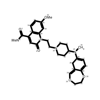 CNC(=O)c1cc(=O)n(CCN2CCC(N(C)C3=CC=C4OCCOC=C4C3)CC2)c2cc(OC)ccc12